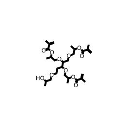 C=C(C)C(=O)OC(C)COCC(OCC(C)OC(=O)C(=C)C)C(CCOCC(C)O)OCC(C)OC(=O)C(=C)C